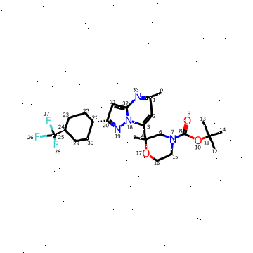 Cc1cc(C2(C)CN(C(=O)OC(C)(C)C)CCO2)n2nc([C@H]3CC[C@H](C(F)(F)F)CC3)cc2n1